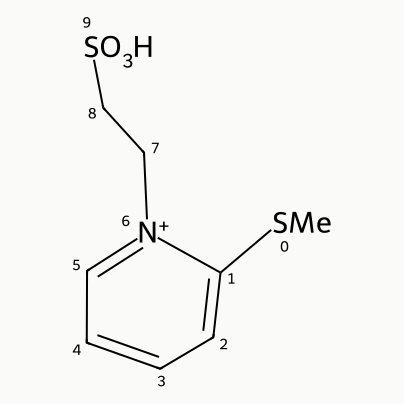 [CH2]Sc1cccc[n+]1CCS(=O)(=O)O